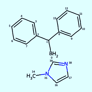 BC(c1ccccc1)c1ccccc1.Cn1ccnc1